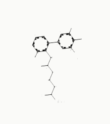 CCCCC(F)CCCC(F)Cc1c(C(=O)O)cccc1-c1cc(F)c(F)c(F)c1